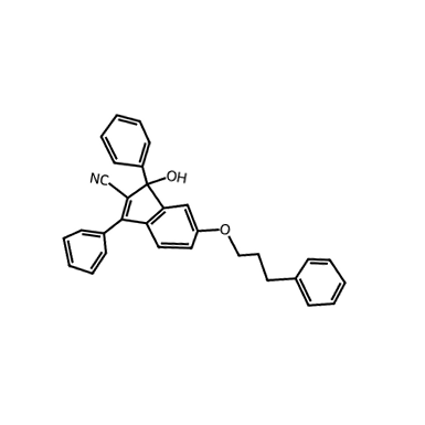 N#CC1=C(c2ccccc2)c2ccc(OCCCc3ccccc3)cc2C1(O)c1ccccc1